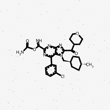 C[C@H]1CC[C@H](Cn2c(C(=O)C3CCOCC3)nc3nc(C(=N)OC(N)=O)nc(-c4cccc(Cl)c4)c32)CC1